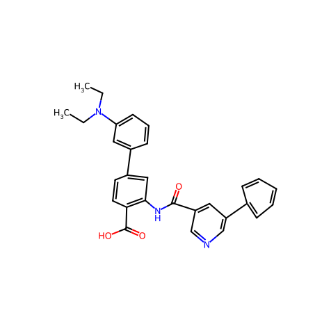 CCN(CC)c1cccc(-c2ccc(C(=O)O)c(NC(=O)c3cncc(-c4ccccc4)c3)c2)c1